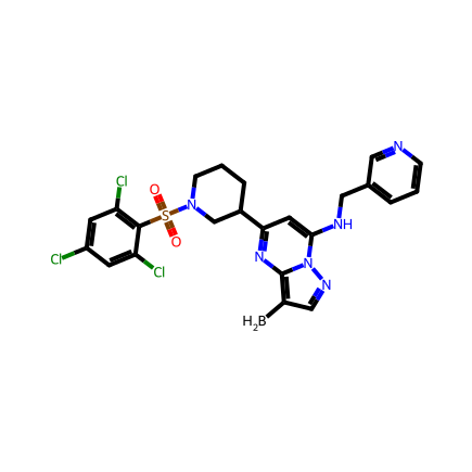 Bc1cnn2c(NCc3cccnc3)cc(C3CCCN(S(=O)(=O)c4c(Cl)cc(Cl)cc4Cl)C3)nc12